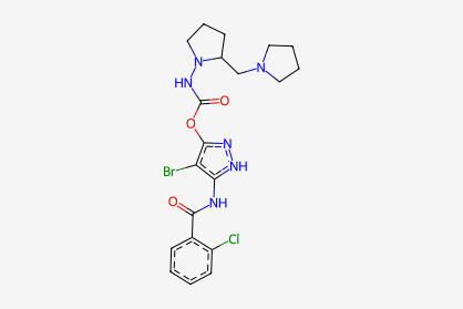 O=C(NN1CCCC1CN1CCCC1)Oc1n[nH]c(NC(=O)c2ccccc2Cl)c1Br